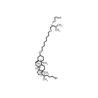 CCCCCOC[C@@H](COCCCCCCCCOC1CC[C@@]2(C)C(=CC[C@H]3[C@@H]4CC[C@H]([C@H](C)CCCC(C)C)[C@@]4(C)CC[C@@H]32)C1)N(C)C